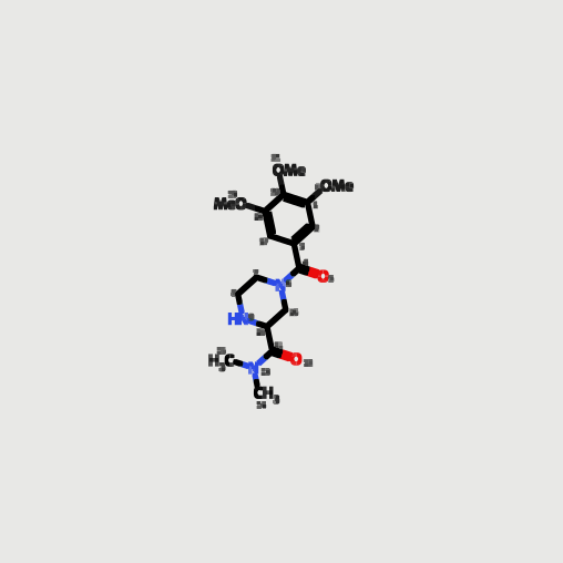 COc1cc(C(=O)N2CCNC(C(=O)N(C)C)C2)cc(OC)c1OC